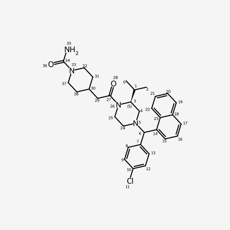 CC(C)[C@H]1CN(C(c2ccc(Cl)cc2)c2cccc3ccccc23)CCN1C(=O)CC1CCN(C(N)=O)CC1